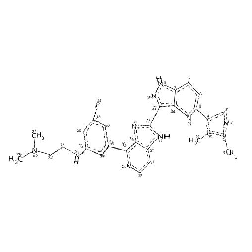 Cc1ncc(-c2ccc3[nH]nc(-c4nc5c(-c6cc(F)cc(NCCN(C)C)c6)nccc5[nH]4)c3n2)n1C